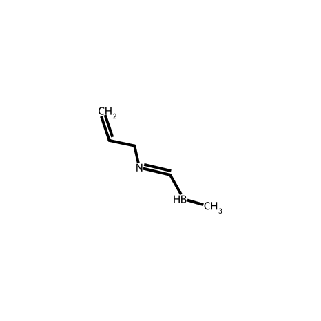 C=CCN=CBC